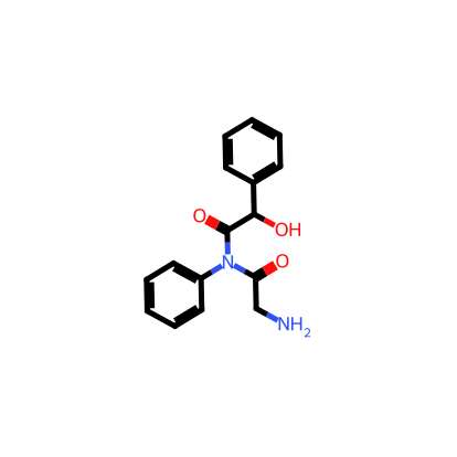 NCC(=O)N(C(=O)C(O)c1ccccc1)c1ccccc1